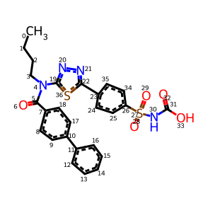 CCCCN(C(=O)c1ccc(-c2ccccc2)cc1)c1nnc(-c2ccc(S(=O)(=O)NC(=O)O)cc2)s1